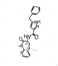 C[C@H]1C[C@H](NC(=O)c2cc(Cc3ccccc3)[nH]n2)C(=O)N(C)c2ncccc21